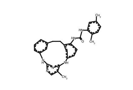 Cc1ccc(C)c(NC(=O)Nc2ccc3cc2CCc2cccc(c2)Nc2ncc(C)c(n2)N3)c1